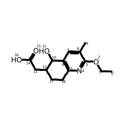 CCOc1nc2c(cc1C)C(O)C(CC(=O)O)CC2